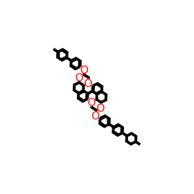 Cc1ccc(-c2ccc(OC(=O)COc3ccc4c(c3-c3c(OCC(=O)Oc5ccc(-c6ccc(C7CCC(C)CC7)cc6)cc5)ccc5c3CCCC5)CCCC4)cc2)cc1